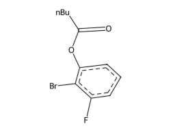 CCCCC(=O)Oc1cccc(F)c1Br